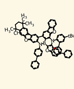 CC(C)(C)c1ccc(N2c3c(oc4ccc(-c5ccccc5)cc34)B3c4c(cc5c(oc6ccccc65)c42)-c2cc4c(cc2N3c2ccc(-c3ccccc3)cc2)oc2cc3c(cc24)C(C)(C)CCC3(C)C)c(-c2ccccc2)c1